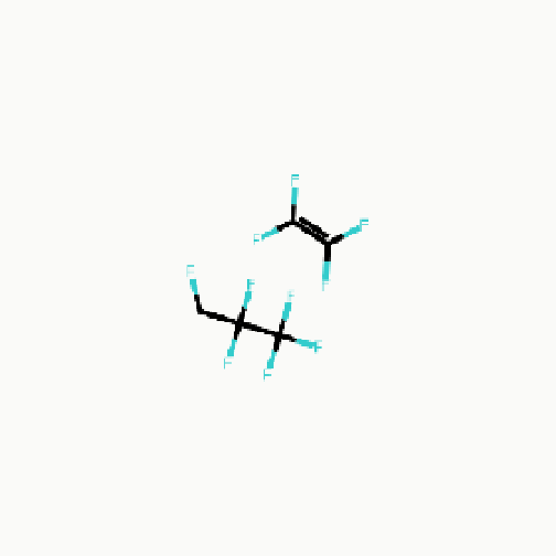 FC(F)=C(F)F.FCC(F)(F)C(F)(F)F